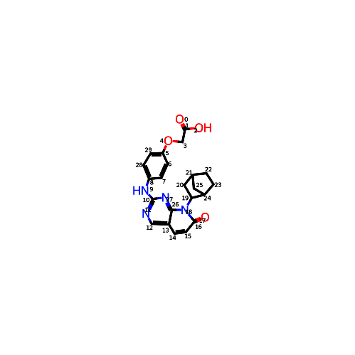 O=C(O)COc1ccc(Nc2ncc3ccc(=O)n(C4CC5CCC4C5)c3n2)cc1